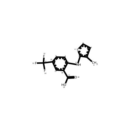 Cc1ccsc1Nc1ccc(C(F)(F)F)cc1C(=O)O